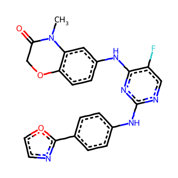 CN1C(=O)COc2ccc(Nc3nc(Nc4ccc(-c5ncco5)cc4)ncc3F)cc21